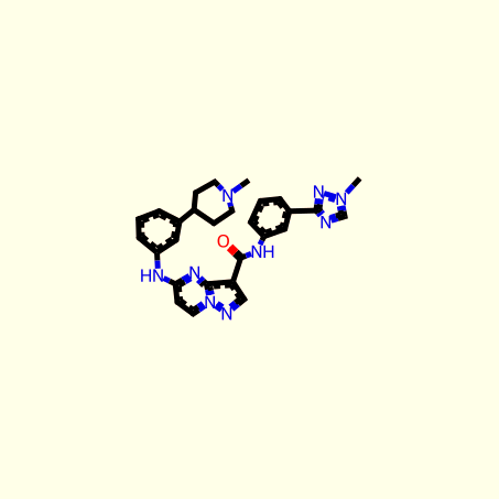 CN1CCC(c2cccc(Nc3ccn4ncc(C(=O)Nc5cccc(-c6ncn(C)n6)c5)c4n3)c2)CC1